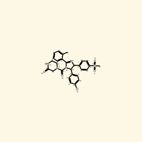 Cc1ccccc1C1=NC(c2ccc(S(C)(=O)=O)cc2)C(c2ccc(Cl)cc2)N1C(=O)N1CCNC(=O)C1